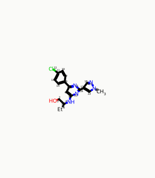 CCC(CO)Nc1cc(-c2ccc(Cl)cc2)nc(-c2cnn(C)c2)n1